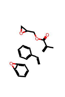 C=C(C)C(=O)OCC1CO1.C=Cc1ccccc1.c1ccc2c(c1)O2